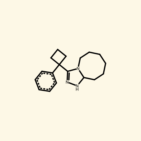 c1ccc(C2(C3=NNC4CCCCCCN34)CCC2)cc1